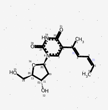 C/C=C\C=C(/C)c1cn([C@H]2C[C@H](O)[C@@H](CO)O2)c(=O)[nH]c1=O